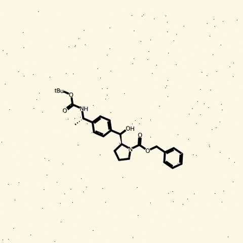 C[C@H](NC(=O)OC(C)(C)C)c1ccc(C(O)[C@@H]2CCCN2C(=O)OCc2ccccc2)cc1